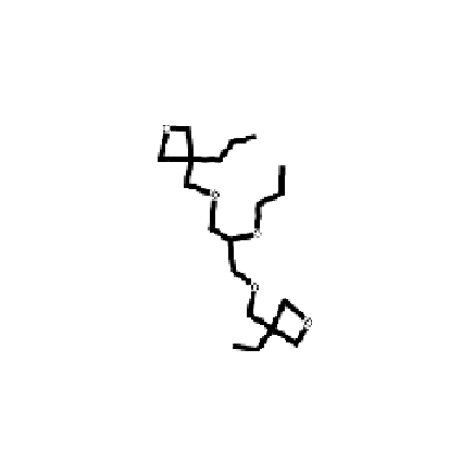 CCCOC(COCC1(CC)COC1)COCC1(CCC)COC1